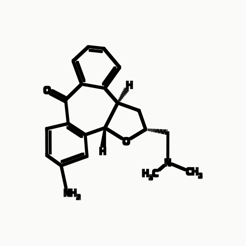 CN(C)C[C@H]1C[C@@H]2c3ccccc3C(=O)c3ccc(N)cc3[C@H]2O1